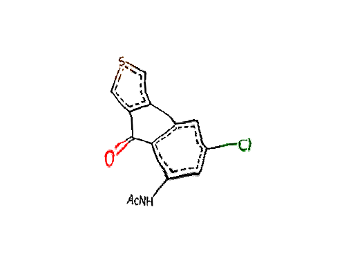 CC(=O)Nc1cc(Cl)cc2c1C(=O)c1cscc1-2